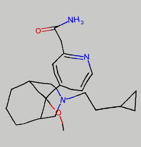 COC1(c2ccnc(C(N)=O)c2)C2CCCC1CN(CCC1CC1)C2